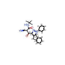 CC(C)(C)NC(=O)C(C#N)C(=O)c1nn(-c2ccccc2)c2c1Cc1ccccc1-2